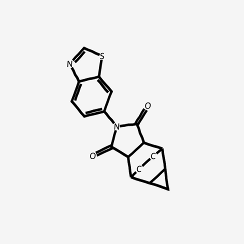 O=C1C2C3CCC(C4CC43)C2C(=O)N1c1ccc2ncsc2c1